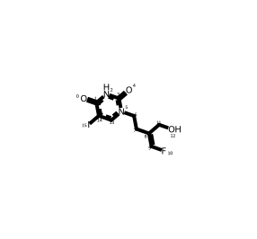 O=c1[nH]c(=O)n(CC/C(=C/F)CO)cc1I